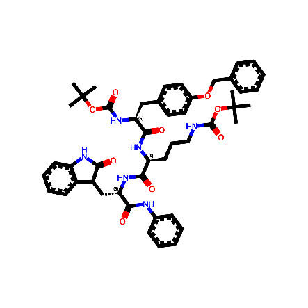 CC(C)(C)OC(=O)NCCC[C@H](NC(=O)[C@H](Cc1ccc(OCc2ccccc2)cc1)NC(=O)OC(C)(C)C)C(=O)N[C@@H](CC1C(=O)Nc2ccccc21)C(=O)Nc1ccccc1